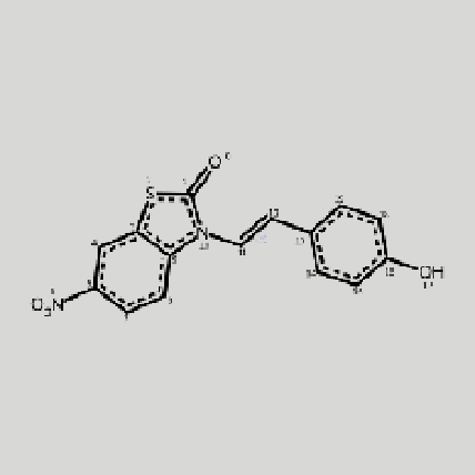 O=c1sc2cc([N+](=O)[O-])ccc2n1/C=C/c1ccc(O)cc1